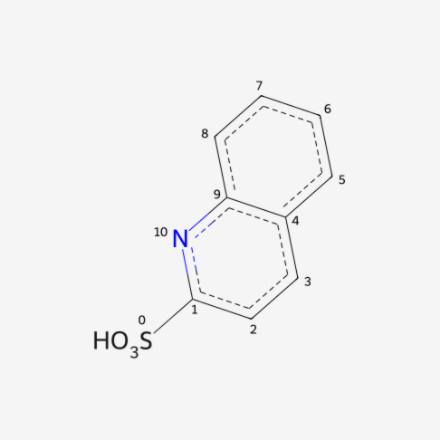 O=S(=O)(O)c1ccc2ccccc2n1